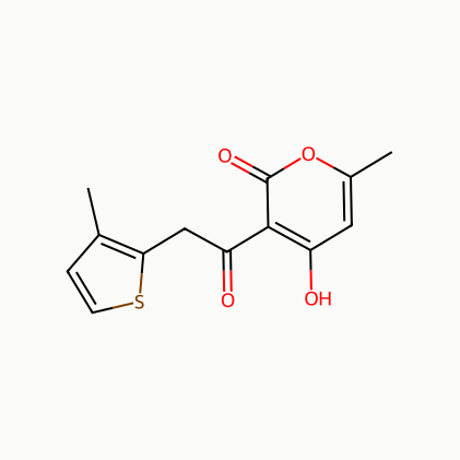 Cc1cc(O)c(C(=O)Cc2sccc2C)c(=O)o1